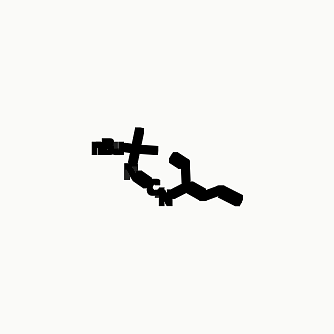 C=C/C=C(\C=C)N=C=NC(C)(C)CCCC